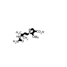 CC(C)COc1c(C(=O)O)cnn1/C=C/C(C)(C)NC(N)=O